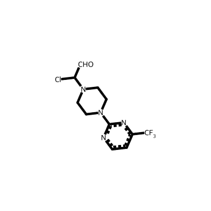 O=CC(Cl)N1CCN(c2nccc(C(F)(F)F)n2)CC1